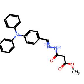 COC(=O)CC(=O)N/N=C/c1ccc(N(c2ccccc2)c2ccccc2)cc1